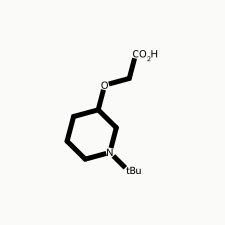 CC(C)(C)N1CCCC(OCC(=O)O)C1